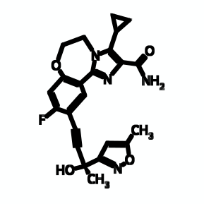 Cc1cc([C@](C)(O)C#Cc2cc3c(cc2F)OCCn2c-3nc(C(N)=O)c2C2CC2)no1